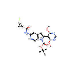 COc1ncnc(OC)c1-c1cc2cc(NC(=O)[C@@H]3C[C@@H]3F)ncc2n1C(=O)OC(C)(C)C